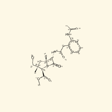 COC(=O)[C@@H]1N2C(=O)[C@@H](NC(=O)Cc3ccccc3NC(C)=O)[C@H]2S[C@@]1(C)CCl